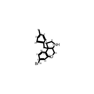 Cc1ccc(CC23CCNC2COc2cc(Br)ccc23)cc1